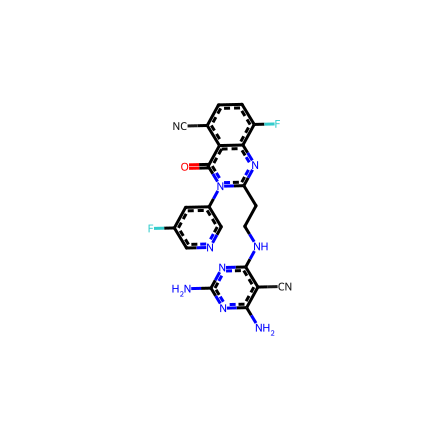 N#Cc1c(N)nc(N)nc1NCCc1nc2c(F)ccc(C#N)c2c(=O)n1-c1cncc(F)c1